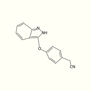 N#CCc1ccc(Oc2[nH]nc3ccccc23)cc1